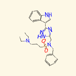 CCN(CC)CCCS(=O)(=O)N(Cc1ccccc1)Cc1nc(-c2c[nH]c3ccccc23)n[nH]1